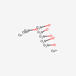 O=[N+]([O-])[O-].O=[N+]([O-])[O-].O=[N+]([O-])[O-].O=[N+]([O-])[O-].O=[N+]([O-])[O-].O=[N+]([O-])[O-].[Co+2].[Co+3].[Cs+]